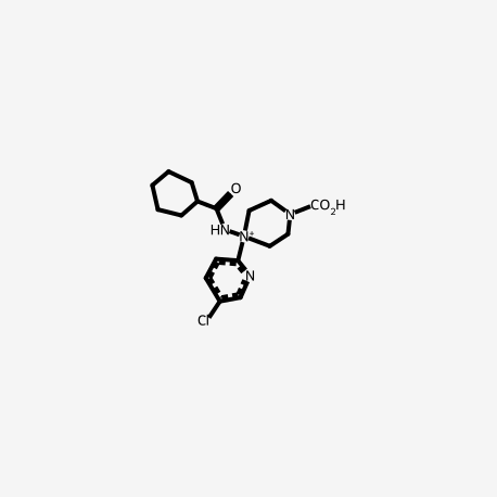 O=C(N[N+]1(c2ccc(Cl)cn2)CCN(C(=O)O)CC1)C1CCCCC1